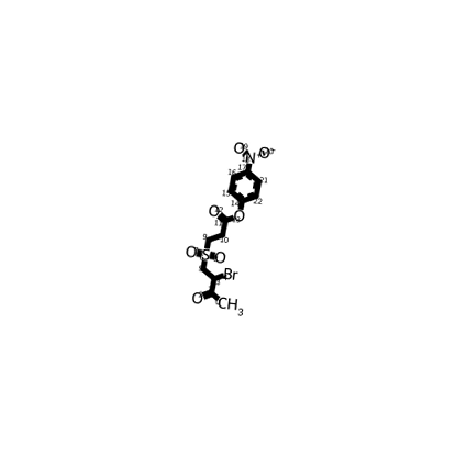 CC(=O)C(Br)CS(=O)(=O)CCC(=O)Oc1ccc([N+](=O)[O-])cc1